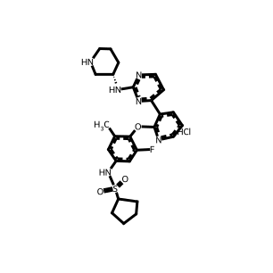 Cc1cc(NS(=O)(=O)C2CCCC2)cc(F)c1Oc1ncccc1-c1ccnc(N[C@H]2CCCNC2)n1.Cl